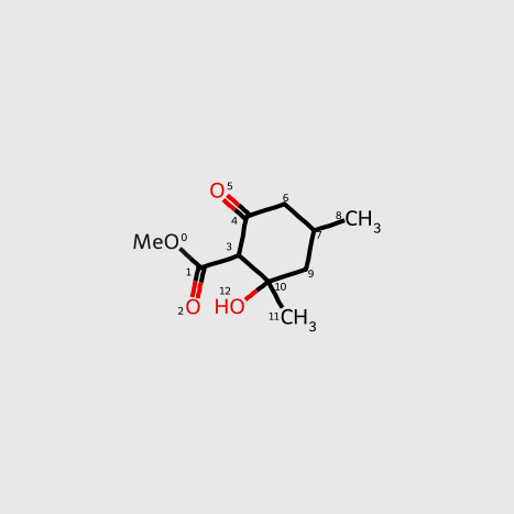 COC(=O)C1C(=O)CC(C)CC1(C)O